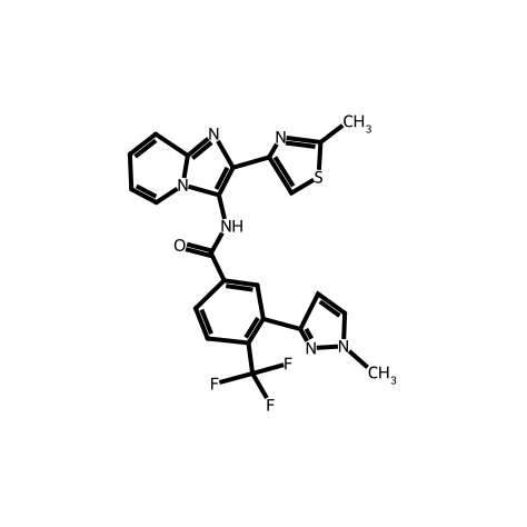 Cc1nc(-c2nc3ccccn3c2NC(=O)c2ccc(C(F)(F)F)c(-c3ccn(C)n3)c2)cs1